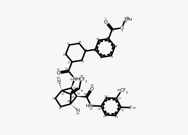 CC(C)(C)OC(=O)c1cccc(C2CCCC(C(=O)N[C@H]3[C@@H](C(=O)Nc4ccc(F)c(C(F)(F)F)c4)[C@H]4CC[C@@H]3/C4=C\C(F)(F)F)C2)c1